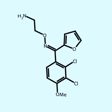 COc1ccc(C(=NOCCN)c2ccco2)c(Cl)c1Cl